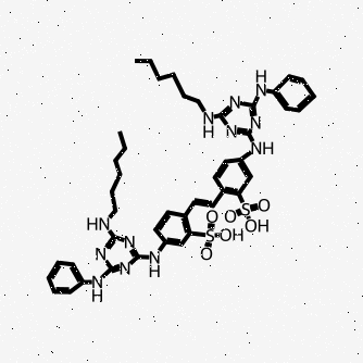 CCCCCCNc1nc(Nc2ccccc2)nc(Nc2ccc(C=Cc3ccc(Nc4nc(NCCCCCC)nc(Nc5ccccc5)n4)cc3S(=O)(=O)O)c(S(=O)(=O)O)c2)n1